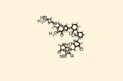 COc1nc(-c2cccc(-c3cccc(-c4cc5c(=O)n(C)c(CNC6CC(C)(O)C6)nn5c4)c3Cl)c2Cl)cc(Cl)c1CN(C[C@@H]1CCC(=O)N1)C(=O)OC(C)(C)C